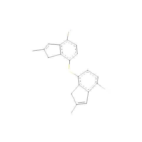 CC1=Cc2c(Br)ccc(Sc3ccc(Br)c4c3CC(C)=C4)c2C1